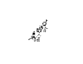 C#CC(C)(C)NC(=O)C1C=C(c2cc3c(C(=O)NC)c(-c4ccc(F)cc4)oc3nc2Cl)C=CC1OC